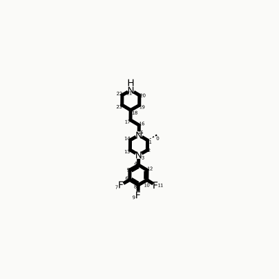 C[C@@H]1CN(c2cc(F)c(F)c(F)c2)CCN1CCC1CCNCC1